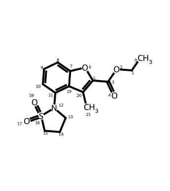 CCOC(=O)c1oc2cccc(N3CCCS3(=O)=O)c2c1C